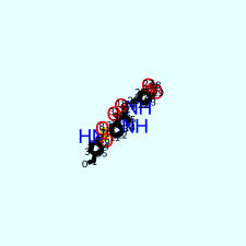 CCc1ccc(NS(=O)(=O)c2ccc3[nH]cc(C(=O)NCc4ccc5c(c4)OCO5)c(=O)c3c2)cc1